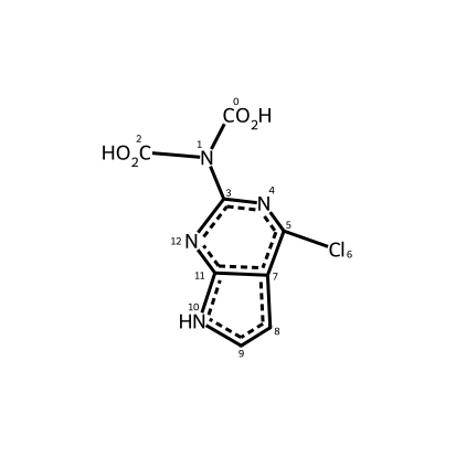 O=C(O)N(C(=O)O)c1nc(Cl)c2cc[nH]c2n1